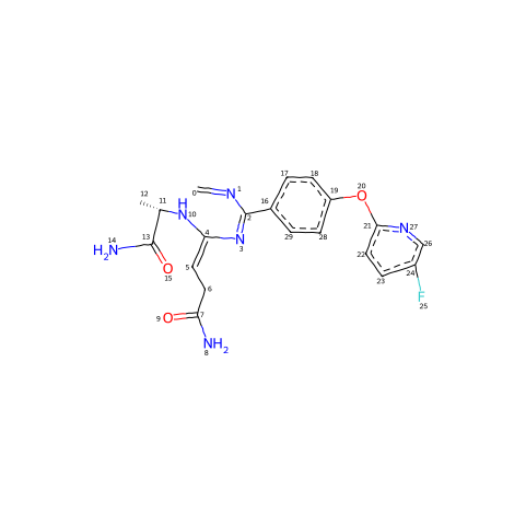 C=N/C(=N\C(=C/CC(N)=O)N[C@@H](C)C(N)=O)c1ccc(Oc2ccc(F)cn2)cc1